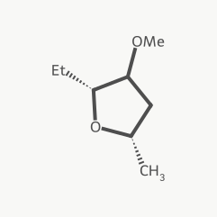 CC[C@H]1O[C@@H](C)CC1OC